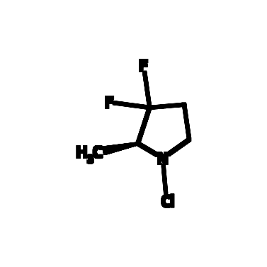 C[C@@H]1N(Cl)CCC1(F)F